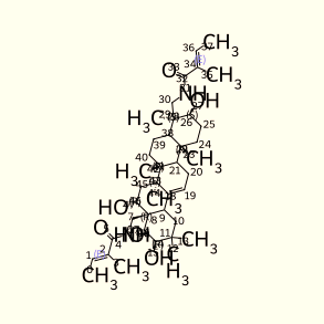 C/C=C(\C)C(=O)NC[C@@]12C(CC(C)(C)[C@@H](O)[C@@H]1O)C1=CCC3[C@@]4(C)CC[C@H](O)[C@](C)(CNC(=O)/C(C)=C/C)C4CC[C@@]3(C)[C@]1(C)C[C@H]2O